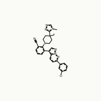 Cn1cnnc1C1(F)CCN(c2c(C#N)cccc2-c2cnn3nc(-c4cccc(Cl)c4)ccc23)CC1